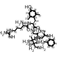 BC(B)(CN)C(B)(B)C[C@H](NC(=O)[C@H](Cc1c(C)cc(O)cc1C)NC(=O)[C@H](N)CCCNC(=N)N)C(=O)N[C@@H](Cc1ccccc1)C(N)=O